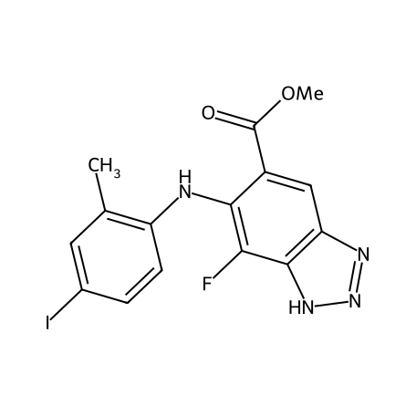 COC(=O)c1cc2nn[nH]c2c(F)c1Nc1ccc(I)cc1C